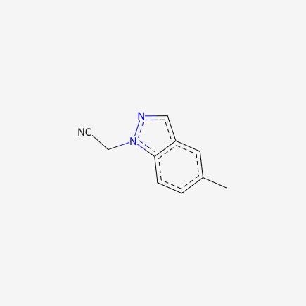 Cc1ccc2c(cnn2CC#N)c1